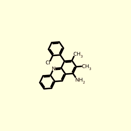 Cc1c(C)c(-c2ccccc2Cl)c2nc3ccccc3cc2c1N